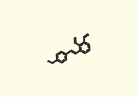 C=Cc1cccc(C=Cc2ccc(CC)cc2)c1C=C